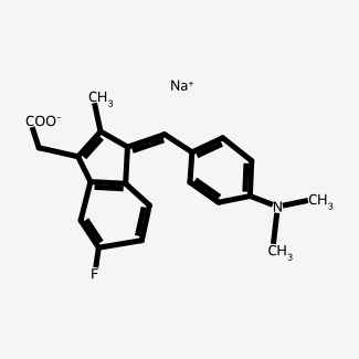 CC1=C(CC(=O)[O-])c2cc(F)ccc2/C1=C\c1ccc(N(C)C)cc1.[Na+]